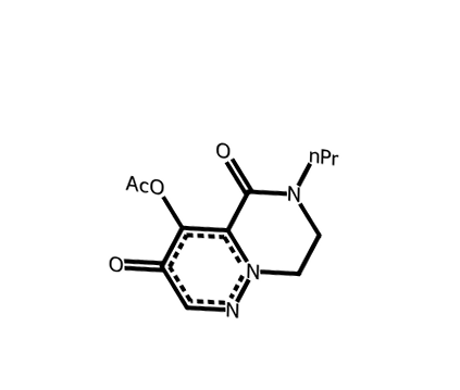 CCCN1CCn2ncc(=O)c(OC(C)=O)c2C1=O